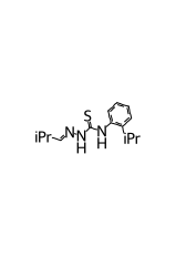 CC(C)/C=N/NC(=S)Nc1ccccc1C(C)C